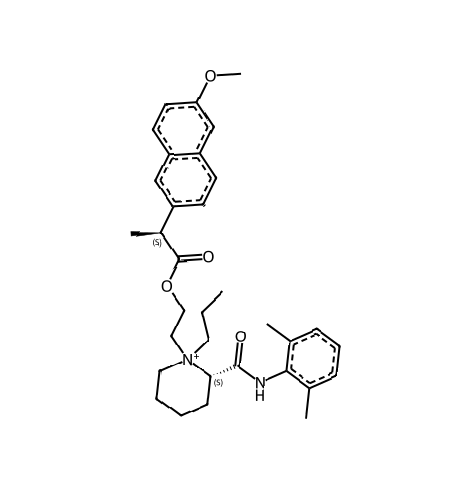 CCC[N+]1(CCOC(=O)[C@@H](C)c2ccc3cc(OC)ccc3c2)CCCC[C@H]1C(=O)Nc1c(C)cccc1C